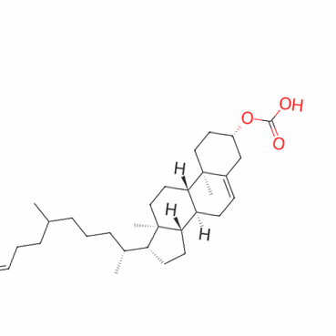 C=CCCC(C)CCC[C@@H](C)[C@H]1CC[C@H]2[C@@H]3CC=C4C[C@@H](OC(=O)O)CC[C@]4(C)[C@H]3CC[C@]12C